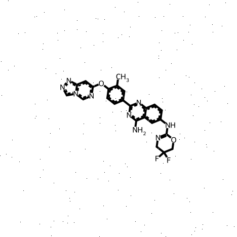 Cc1cc(-c2nc(N)c3cc(NC4=NCC(F)(F)CO4)ccc3n2)ccc1Oc1cc2nncn2cn1